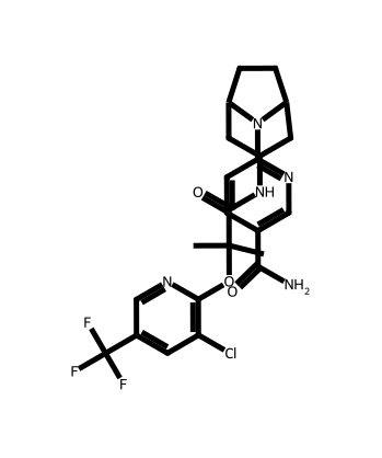 CC(C)(Oc1ncc(C(F)(F)F)cc1Cl)C(=O)NC1CC2CCC(C1)N2c1ccc(C(N)=O)cn1